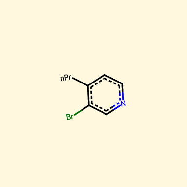 CCCc1ccncc1Br